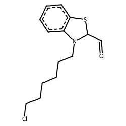 O=CC1Sc2ccccc2N1CCCCCCCl